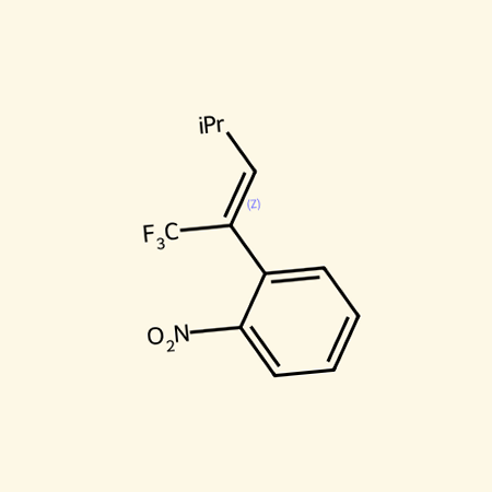 CC(C)/C=C(/c1ccccc1[N+](=O)[O-])C(F)(F)F